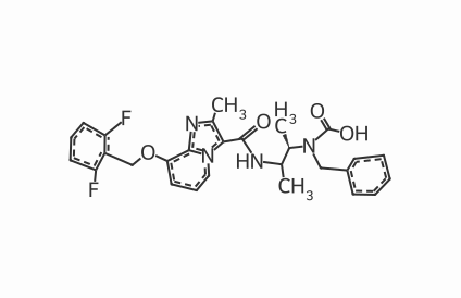 Cc1nc2c(OCc3c(F)cccc3F)cccn2c1C(=O)NC(C)[C@@H](C)N(Cc1ccccc1)C(=O)O